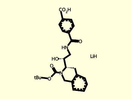 CC(C)(C)OC(=O)N1Cc2ccccc2C[C@H]1[C@H](O)CNC(=O)c1ccc(C(=O)O)cc1.[LiH]